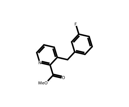 COC(=O)c1ncccc1Cc1cccc(F)c1